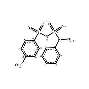 NN(c1ccccc1)S(=O)(=O)OS(=O)(=O)c1ccc(C=O)cc1